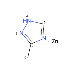 Cc1nc[nH]n1.[Zn]